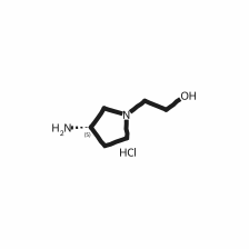 Cl.N[C@H]1CCN(CCO)C1